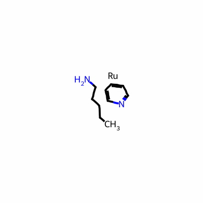 CCCCCN.[Ru].c1ccncc1